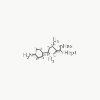 CCCCCCCC(CCCCCC)C(=O)C(C)CC(C)C1CCC(N)CC1